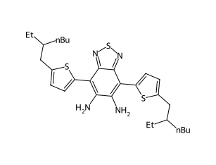 CCCCC(CC)Cc1ccc(-c2c(N)c(N)c(-c3ccc(CC(CC)CCCC)s3)c3nsnc23)s1